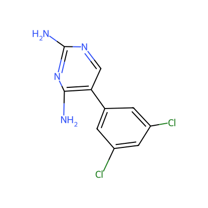 Nc1ncc(-c2cc(Cl)cc(Cl)c2)c(N)n1